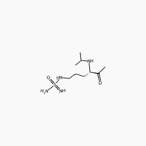 CC(=O)[C@H](CCCNS(=N)(N)=O)NC(C)C